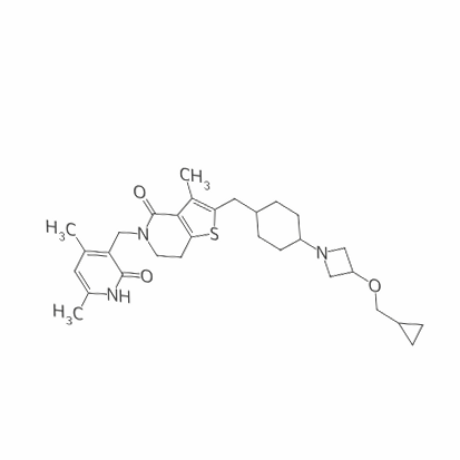 Cc1cc(C)c(CN2CCc3sc(CC4CCC(N5CC(OCC6CC6)C5)CC4)c(C)c3C2=O)c(=O)[nH]1